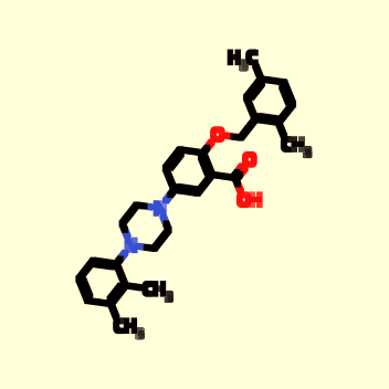 Cc1ccc(C)c(COc2ccc(N3CCN(c4cccc(C)c4C)CC3)cc2C(=O)O)c1